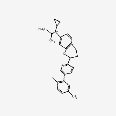 Cc1ccc(F)c(-c2cnc(C3CCc4ccc([C@H](C5CC5)C(C)C(=O)O)cc4O3)nc2)c1